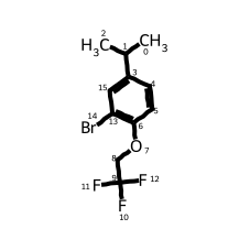 CC(C)c1ccc(OCC(F)(F)F)c(Br)c1